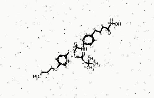 CCCCOc1ccc(C[C@@H](NC(=O)OC(C)(C)C)C(=O)Nc2ccc(CCCC(=O)NO)cc2)nc1